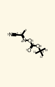 C/C(C#N)=N\OC(=O)OC(C)(C)C